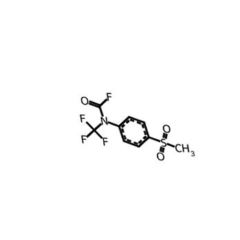 CS(=O)(=O)c1ccc(N(C(=O)F)C(F)(F)F)cc1